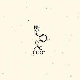 N=[N+]=Cc1ccccc1OC(=O)CC(=O)[O-]